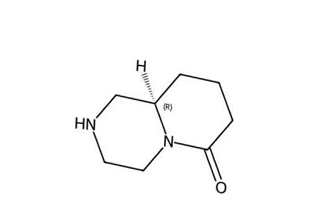 O=C1CCC[C@@H]2CNCCN12